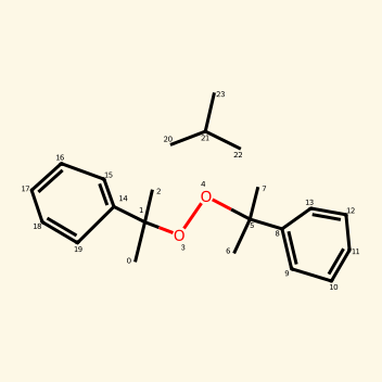 CC(C)(OOC(C)(C)c1ccccc1)c1ccccc1.CC(C)C